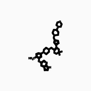 CC1(C)CCC(CN2CCN(c3ccc(C(=O)O)c(Oc4cnc5[nH]ccc5c4)c3)CC2)=C(c2cc(CN3CCC(N4CCOCC4)CC3)cs2)C1